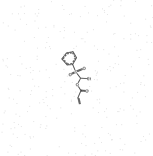 C=CC(=O)OC(CC)S(=O)(=O)c1ccccc1